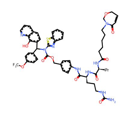 CC(C)[C@H](NC(=O)CCCCCN1COCC=CC1=O)C(=O)N[C@@H](CCCNC(N)=O)C(=O)Nc1ccc(COC(=O)N(c2nc3ccccc3s2)C(c2ccc(OC(F)(F)F)cc2)c2ccc3cccnc3c2O)cc1